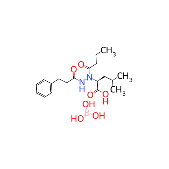 CCCC(=O)N(NC(=O)CCc1ccccc1)[C@@H](CC(C)C)C(=O)O.OB(O)O